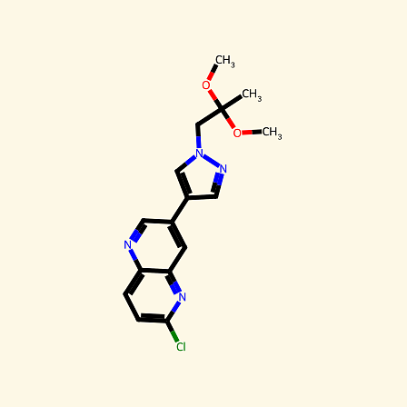 COC(C)(Cn1cc(-c2cnc3ccc(Cl)nc3c2)cn1)OC